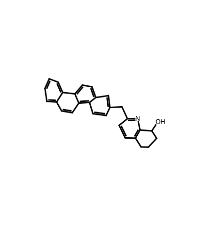 OC1CCCc2ccc(Cc3ccc4c(ccc5c6ccccc6ccc45)c3)nc21